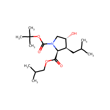 CC(C)COC(=O)[C@@H]1[C@H](CC(C)C)[C@@H](O)CN1C(=O)OC(C)(C)C